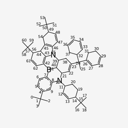 CC(C)(C)c1ccc2c(c1)N(C1C=CC(C(C)(C)C)CC1)C1C=C(C(C)(C3=CC=CCC3)C3C=CC=CC3)CC3C1B2C1=C2C(C4=C(C=CC(C(C)(C)C)C4)N23)C(C(C)(C)C)C=C1